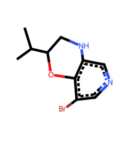 CC(C)C1CNc2cncc(Br)c2O1